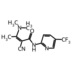 C/C(=C(\C#N)C(=O)Nc1ccc(C(F)(F)F)cn1)N(C)C